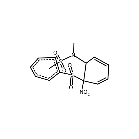 CN(C1C=CC=CC1([N+](=O)[O-])S(=O)(=O)c1ccccc1)S(C)(=O)=O